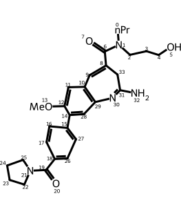 CCCN(CCCO)C(=O)C1=Cc2cc(OC)c(-c3ccc(C(=O)N4CCCC4)cc3)cc2N=C(N)C1